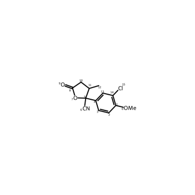 COc1ccc(C2(C#N)OC(=O)CC2C)cc1Cl